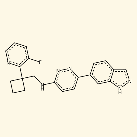 Fc1cccnc1C1(CNc2ccc(-c3ccc4cn[nH]c4c3)nn2)CCC1